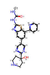 CCNC(=O)Nc1nc2cc(-c3cnc(C4(O)CCNCC4)nc3)cc(-c3ccccn3)c2s1